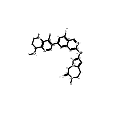 COC1CCNc2c1ncc(-c1cc(F)c3cnc(Nc4cc5n(n4)CC(=O)N(C)CC5)cc3c1)c2C